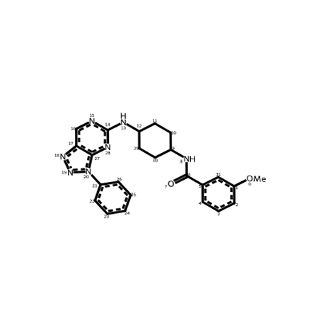 COc1cccc(C(=O)NC2CCC(Nc3ncc4nnn(-c5ccccc5)c4n3)CC2)c1